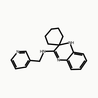 c1cncc(CNC2=Nc3ccccc3NC23CCCCC3)c1